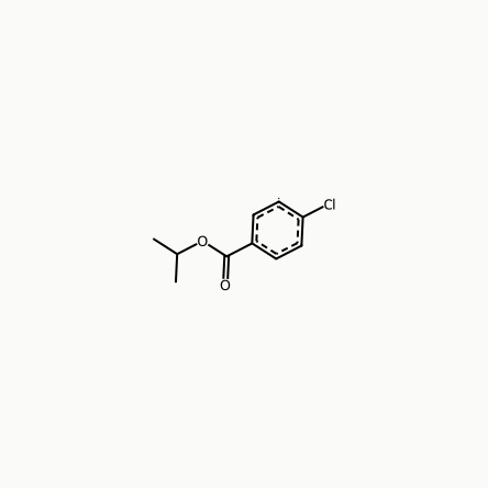 CC(C)OC(=O)c1c[c]c(Cl)cc1